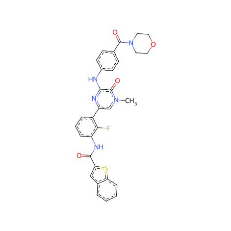 Cn1cc(-c2cccc(NC(=O)c3cc4ccccc4s3)c2F)nc(Nc2ccc(C(=O)N3CCOCC3)cc2)c1=O